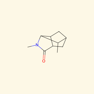 CC1C2CC3C(=O)N(C)C1C3C2